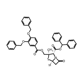 C[C@@]1(COC(=O)c2ccc(OCc3ccccc3)c(OCc3ccccc3)c2)S[C@@H]2CC(=O)N2[C@H]1C(=O)OC(c1ccccc1)c1ccccc1